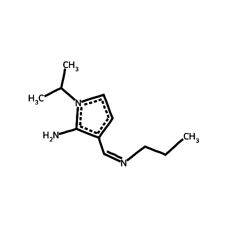 CCC/N=C\c1ccn(C(C)C)c1N